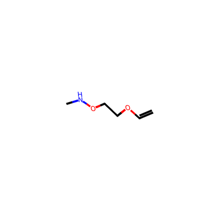 C=COCCONC